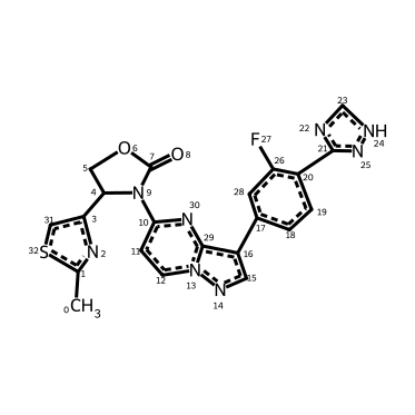 Cc1nc(C2COC(=O)N2c2ccn3ncc(-c4ccc(-c5nc[nH]n5)c(F)c4)c3n2)cs1